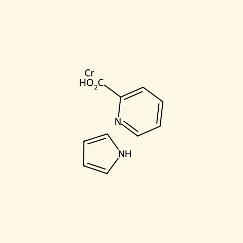 O=C(O)c1ccccn1.[Cr].c1cc[nH]c1